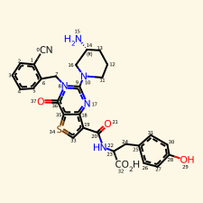 N#Cc1ccccc1Cn1c(N2CCC[C@@H](N)C2)nc2c(C(=O)NC(Cc3ccc(O)cc3)C(=O)O)csc2c1=O